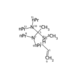 C=CC[SiH](C)C(C)(N(CCC)CCC)N(CCC)CCC